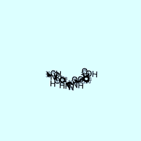 CC1(NC(=O)O[C@@H]2CC[C@H](c3cc(NC(=O)COc4cccc(O)c4C=O)n[nH]3)C2)CC1